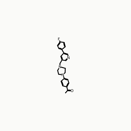 CC(=O)c1ccc(N2CCN(Cc3cncc(-c4ccc(F)cc4)c3)CC2)cc1